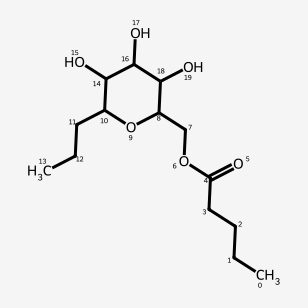 CCCCC(=O)OCC1OC(CCC)C(O)C(O)C1O